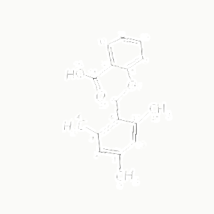 Cc1cc(C)c(COc2ccccc2C(=O)O)c(C)c1